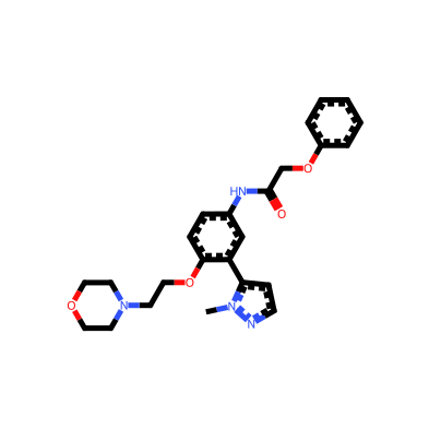 Cn1nccc1-c1cc(NC(=O)COc2ccccc2)ccc1OCCN1CCOCC1